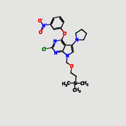 C[Si](C)(C)CCOCn1cc(N2CCCC2)c2c(Oc3cccc([N+](=O)[O-])c3)nc(Cl)nc21